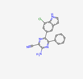 N#Cc1nc(-c2cc(Cl)c3[nH]ccc3c2)c(-c2ccccc2)nc1N